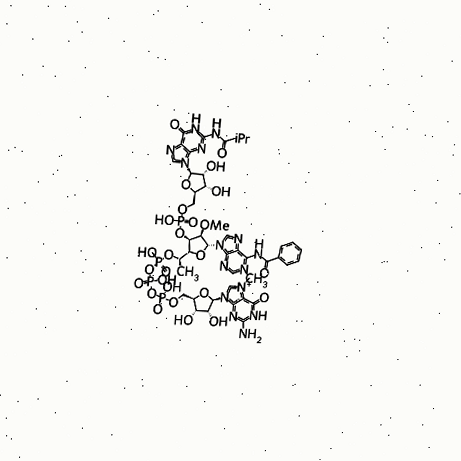 CO[C@@H]1[C@H](OP(=O)(O)OC[C@H]2O[C@@H](n3cnc4c(=O)[nH]c(NC(=O)C(C)C)nc43)[C@H](O)[C@@H]2O)C([C@@H](C)OP(=O)(O)OP(=O)(O)OP(=O)(O)OC[C@H]2O[C@@H](n3c[n+](C)c4c(=O)[nH]c(N)nc43)[C@H](O)[C@@H]2O)O[C@H]1n1cnc2c(NC(=O)c3ccccc3)ncnc21